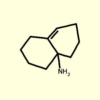 NC12CCCC=C1CCCC2